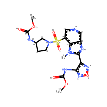 CCn1c(-c2nonc2NC(=O)OC(C)(C)C)nc2cncc(S(=O)(=O)N3CCC(NC(=O)OC(C)(C)C)C3)c21